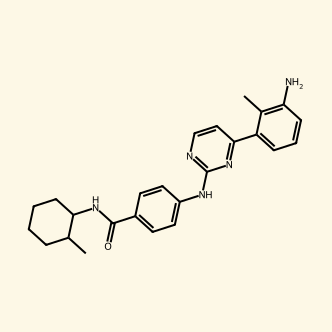 Cc1c(N)cccc1-c1ccnc(Nc2ccc(C(=O)NC3CCCCC3C)cc2)n1